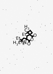 CCC(C)(CC)CC1(C)CC2(CCC2(C)CC)C(=O)OC1=O